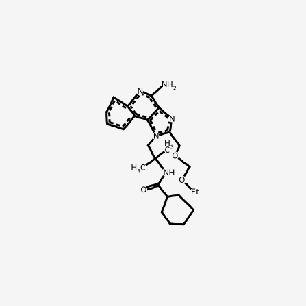 CCOCOCc1nc2c(N)nc3ccccc3c2n1CC(C)(C)NC(=O)C1CCCCC1